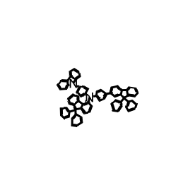 c1ccc(C2(c3ccccc3)c3ccccc3-c3ccc(-c4ccc(N(c5ccc(-n6c7ccccc7c7ccccc76)cc5)c5cccc6c5-c5ccccc5C6(c5ccccc5)c5ccccc5)cc4)cc32)cc1